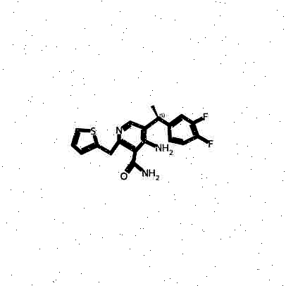 C[C@@H](c1ccc(F)c(F)c1)c1cnc(Cc2cccs2)c(C(N)=O)c1N